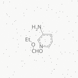 CCOC=O.Nc1cccnc1